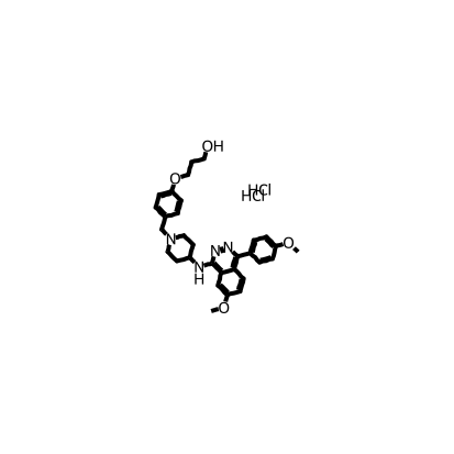 COc1ccc(-c2nnc(NC3CCN(Cc4ccc(OCCCO)cc4)CC3)c3cc(OC)ccc23)cc1.Cl.Cl